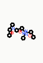 C1=CCC(c2nc(-c3cccc4c3oc3ccccc34)nc(-c3cccc4c3oc3ccc(-n5c6ccccc6c6ccc7c8ccccc8oc7c65)cc34)n2)C=C1